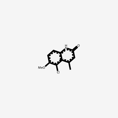 COc1ccc2[nH]c(=O)cc(C)c2c1Cl